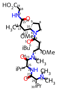 CC[C@H](C)[C@@H]([C@@H](CC(=O)N1CCC[C@H]1[C@H](OC)[C@@H](C)C(=O)NCC(=O)O)OC)N(C)C(=O)[C@@H](NC(=O)[C@H](C(C)C)N(C)C)C(C)C